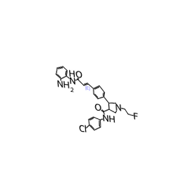 Nc1ccccc1NC(=O)/C=C/c1ccc(C2CN(CCF)CC2C(=O)Nc2ccc(Cl)cc2)cc1